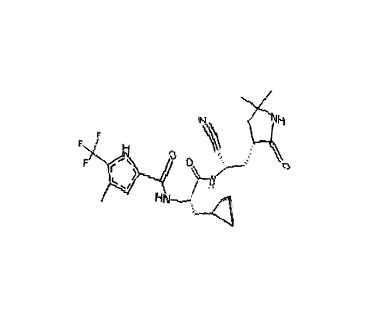 Cc1cc(C(=O)N[C@@H](CC2CC2)C(=O)N[C@H](C#N)C[C@@H]2CC(C)(C)NC2=O)[nH]c1C(F)(F)F